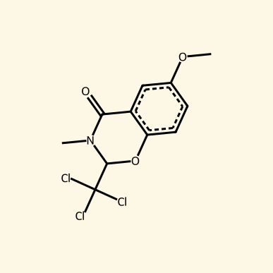 COc1ccc2c(c1)C(=O)N(C)C(C(Cl)(Cl)Cl)O2